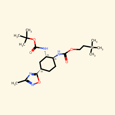 Cc1noc([C@H]2CC[C@H](NC(=O)OCC[Si](C)(C)C)[C@@H](NC(=O)OC(C)(C)C)C2)n1